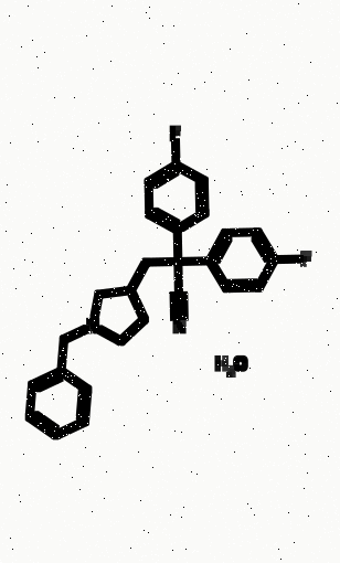 N#CC(CC1CCN(Cc2ccccc2)C1)(c1ccc(F)cc1)c1ccc(F)cc1.O